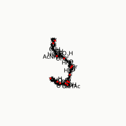 CC(=O)N[C@H]1[C@H]([C@H](O)[C@H](O)CNC(=O)c2ccc(-c3ccccc3)cc2)O[C@@](OCCCSCCNC(=O)c2ccc(C(=O)NCCSCCCO[C@]3(C(=O)O)C[C@H](O)[C@@H](NC(C)=O)[C@H]([C@H](O)[C@H](O)CNC(=O)c4ccc(-c5ccccc5)cc4)O3)c(Br)c2)(C(=O)O)C[C@@H]1O